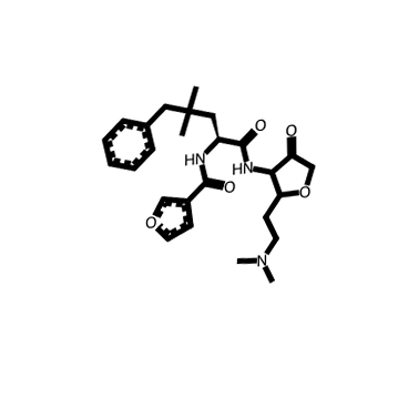 CN(C)CCC1OCC(=O)C1NC(=O)[C@H](CC(C)(C)Cc1ccccc1)NC(=O)c1ccoc1